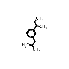 CCC(C)c1[c]c(CC(C)C)ccc1